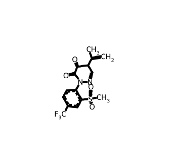 C=C(C)C1C=NN(c2ccc(C(F)(F)F)cc2S(C)(=O)=O)C(=O)C1=O